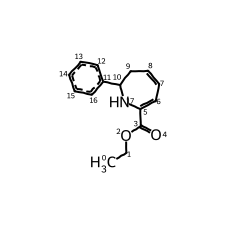 CCOC(=O)C1=CC=CCC(c2ccccc2)N1